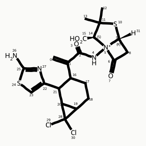 C=C(C(=O)N[N+]12C(=O)C[C@H]1SC(C)(C)[C@@H]2C(=O)O)C1CCC2C(C1c1csc(N)n1)C2(Cl)Cl